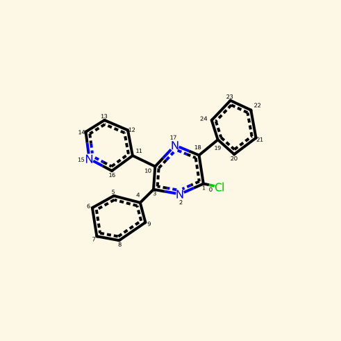 Clc1nc(-c2ccccc2)c(-c2cccnc2)nc1-c1ccccc1